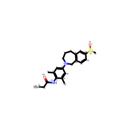 Cc1cc(N2CCCc3cc([S+](C)[O-])ccc3C2)cc(C)c1NC(=O)CC(C)(C)C